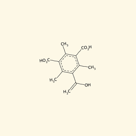 C=C(O)c1c(C)c(C(=O)O)c(C)c(C(=O)O)c1C